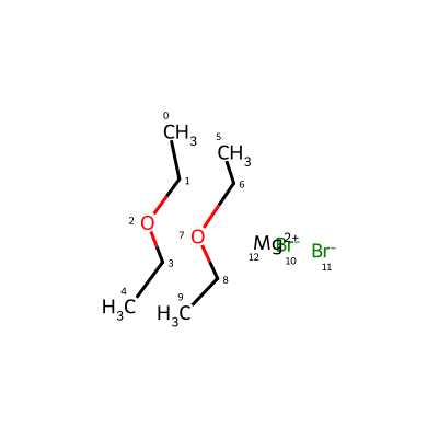 CCOCC.CCOCC.[Br-].[Br-].[Mg+2]